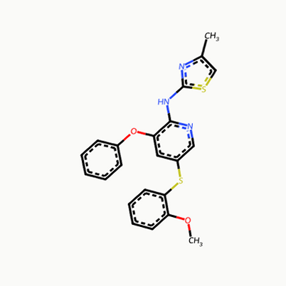 COc1ccccc1Sc1cnc(Nc2nc(C)cs2)c(Oc2ccccc2)c1